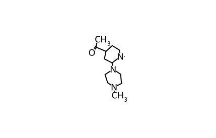 CC(=O)C1CC[N]C(N2CCN(C)CC2)C1